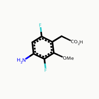 COc1c(F)c(N)cc(F)c1CC(=O)O